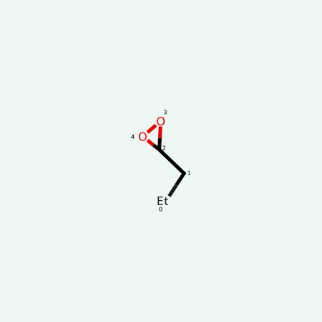 [CH2]CCC1OO1